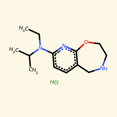 CCN(c1ccc2c(n1)OCCNC2)C(C)C.Cl